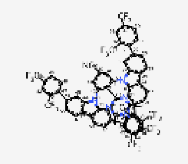 Cc1nc(C)nc(-c2c(-n3c4cc(-c5ccc(C(F)(F)F)cc5C(F)(F)F)ccc4c4ccc(-c5ccc(C(F)(F)F)cc5C(F)(F)F)cc43)cc(C#N)cc2-n2c3cc(-c4ccc(C(F)(F)F)cc4C(F)(F)F)ccc3c3ccc(-c4ccc(C(F)(F)F)cc4C(F)(F)F)cc32)n1